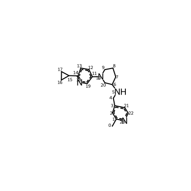 Cc1cc(CNC2CCCN(c3ccc(C4CC4)nc3)C2)ccn1